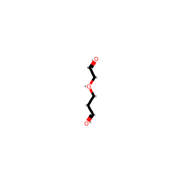 O=CCCOCC=O